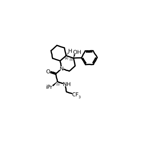 CC(C)[C@H](NCC(F)(F)F)C(=O)N1CC[C@@](O)(c2ccccc2)[C@@H]2CCCCC21